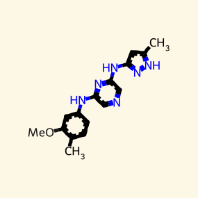 COc1cc(Nc2cncc(Nc3cc(C)[nH]n3)n2)ccc1C